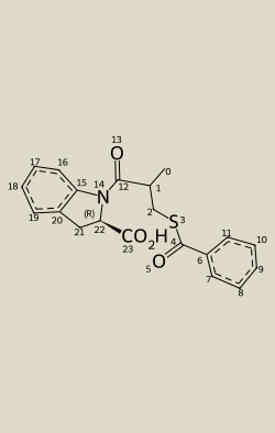 CC(CSC(=O)c1ccccc1)C(=O)N1c2ccccc2C[C@@H]1C(=O)O